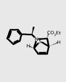 CCOC(=O)[C@@H]1[C@H]2C=C[C@H](S2)N1[C@H](C)c1ccccc1